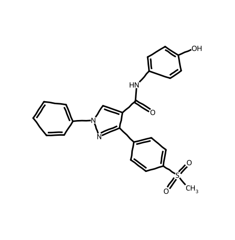 CS(=O)(=O)c1ccc(-c2nn(-c3ccccc3)cc2C(=O)Nc2ccc(O)cc2)cc1